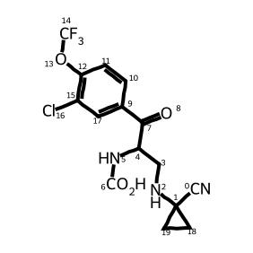 N#CC1(NCC(NC(=O)O)C(=O)c2ccc(OC(F)(F)F)c(Cl)c2)CC1